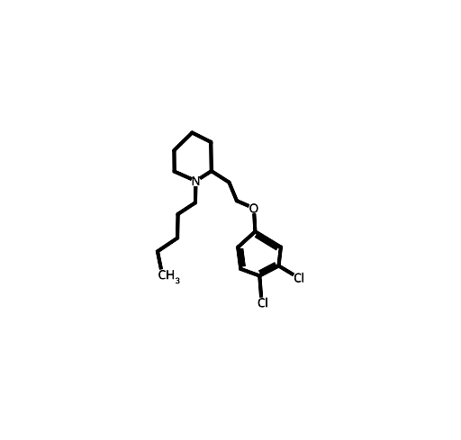 CCCCCN1CCCCC1CCOc1ccc(Cl)c(Cl)c1